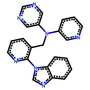 c1cncc(N(Cc2cccnc2-n2cnc3ccccc32)c2cncnc2)c1